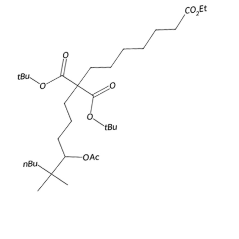 CCCCC(C)(C)C(CCCC(CCCCCCC(=O)OCC)(C(=O)OC(C)(C)C)C(=O)OC(C)(C)C)OC(C)=O